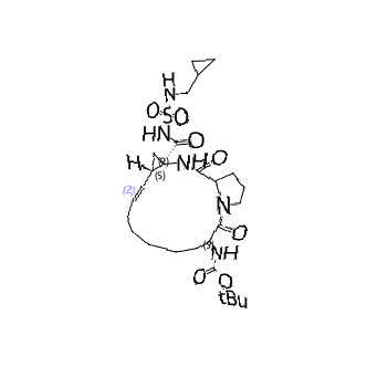 CC(C)(C)OC(=O)N[C@H]1CCCCC/C=C\[C@@H]2C[C@@]2(C(=O)NS(=O)(=O)NCC2CC2)NC(=O)C2CCCN2C1=O